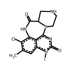 Cc1cc2c3c(nc(=O)n2I)N2CCNCC2C(=O)Nc3c1Cl